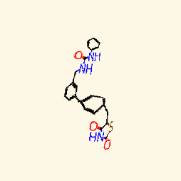 O=C(NCc1cccc(-c2ccc(CC3SC(=O)NC3=O)cc2)c1)Nc1ccccc1